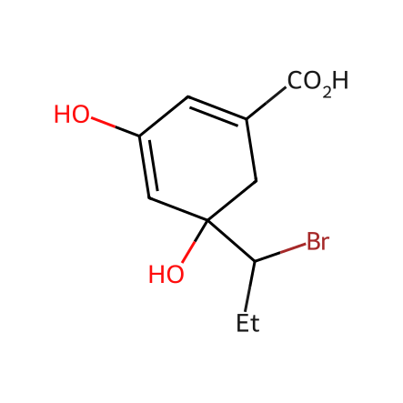 CCC(Br)C1(O)C=C(O)C=C(C(=O)O)C1